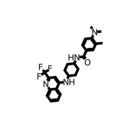 Cc1cc(C(=O)NC2CCC(Nc3cc(C(F)(F)F)nc4ccccc34)CC2)ccc1N(C)C